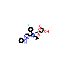 O=C1C[C@H](O)C[C@@H](CCn2c(C3(O)CC3)nc(-c3ccnc(Nc4ccccc4)n3)c2-c2ccc(F)cc2)O1